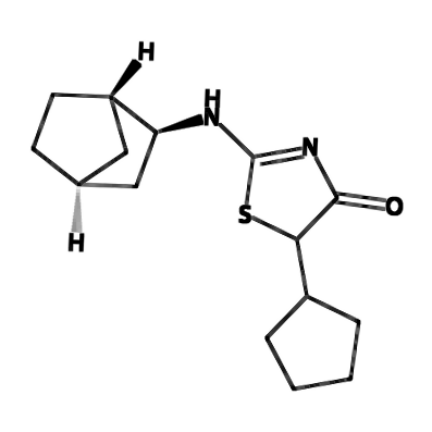 O=C1N=C(N[C@H]2C[C@H]3CC[C@H]2C3)SC1C1CCCC1